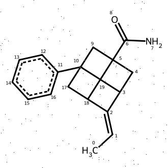 C/C=C1/C2CC3(C(N)=O)CC4(c5ccccc5)CC1C234